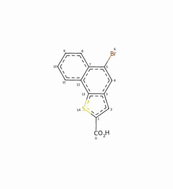 O=C(O)c1cc2cc(Br)c3ccccc3c2s1